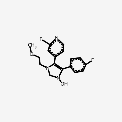 COCCN1CN(O)C(c2ccc(F)cc2)=C1c1ccnc(F)c1